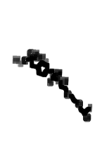 CC(C)(C)Cc1ccc(NC(=S)NCCOCCOCC(=O)I)cc1